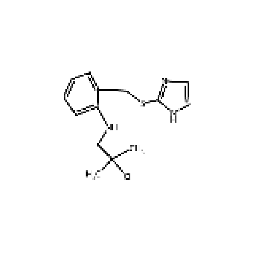 CC(C)(Cl)CNc1ccccc1CSc1ncc[nH]1